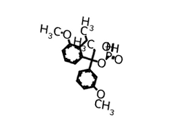 CCc1c(OC)cccc1C(CC)(O[PH](=O)O)c1cccc(OC)c1